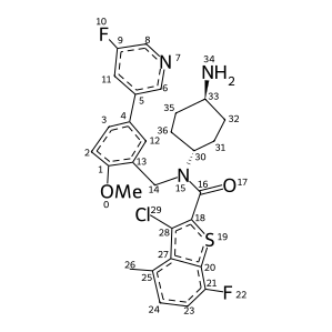 COc1ccc(-c2cncc(F)c2)cc1CN(C(=O)c1sc2c(F)ccc(C)c2c1Cl)[C@H]1CC[C@H](N)CC1